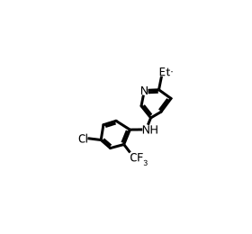 C[CH]c1ccc(Nc2ccc(Cl)cc2C(F)(F)F)cn1